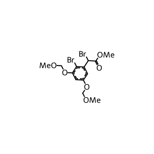 COCOc1cc(OCOC)c(Br)c(C(Br)C(=O)OC)c1